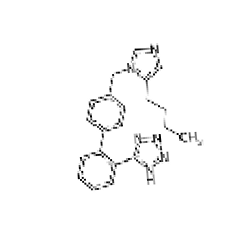 CCCCc1cncn1Cc1ccc(-c2ccccc2-c2nnn[nH]2)cc1